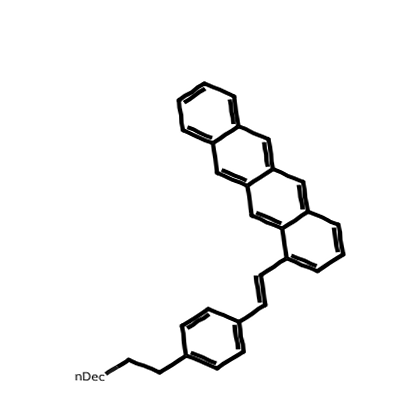 CCCCCCCCCCCCc1ccc(C=Cc2cccc3cc4cc5ccccc5cc4cc23)cc1